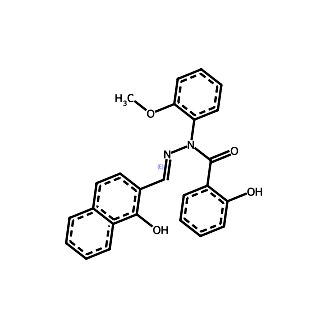 COc1ccccc1N(/N=C/c1ccc2ccccc2c1O)C(=O)c1ccccc1O